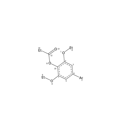 CCOc1cc(C(C)=O)cc(OCC)c1OC(=O)CC